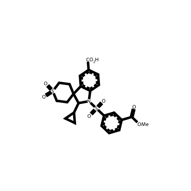 COC(=O)c1cccc(S(=O)(=O)N2c3ccc(C(=O)O)cc3C3(CCS(=O)(=O)CC3)C2C2CC2)c1